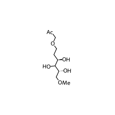 COC[C@@H](O)C(O)[C@H](O)CCOCC(C)=O